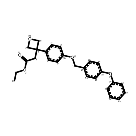 CCOC(=O)CC1(c2ccc(OCc3ccc(Oc4ccccc4)cc3)cc2)COC1